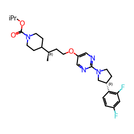 CC(C)OC(=O)N1CCC([C@H](C)CCOc2cnc(N3CC[C@H](c4ccc(F)cc4F)C3)nc2)CC1